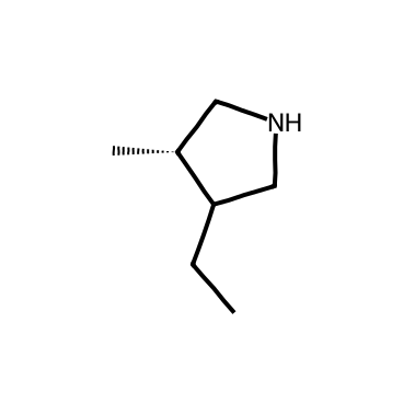 CCC1CNC[C@H]1C